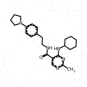 Cc1ncc(C(=O)NCCc2ccc(N3CCCC3)cc2)c(NC2CCCCC2)n1